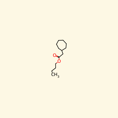 CCCCOC(=O)CC1CCCCCC1